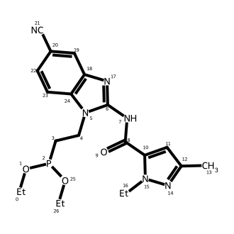 CCOP(CCn1c(NC(=O)c2cc(C)nn2CC)nc2cc(C#N)ccc21)OCC